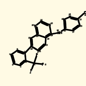 FC(F)(F)c1ccccc1-c1ccc2c(Nc3ccc(Cl)nc3)ncnc2c1